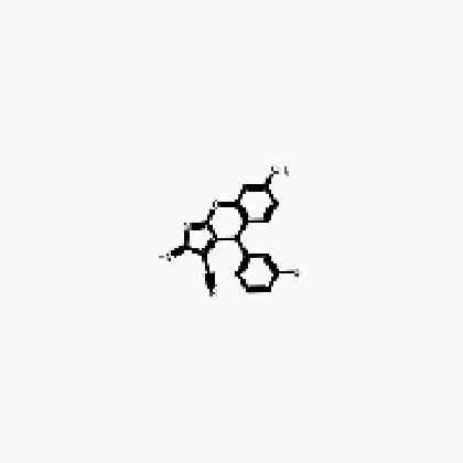 Cc1ccc2c(c1)OC1=NC(=N)C(C#N)=C1C2c1cccc(Br)c1